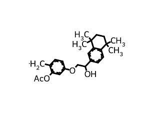 [CH2]c1ccc(OCC(O)c2ccc3c(c2)C(C)(C)CCC3(C)C)cc1OC(C)=O